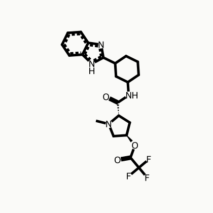 CN1C[C@H](OC(=O)C(F)(F)F)C[C@H]1C(=O)NC1CCCC(c2nc3ccccc3[nH]2)C1